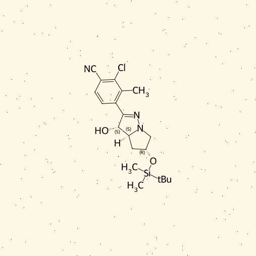 Cc1c(C2=NN3C[C@H](O[Si](C)(C)C(C)(C)C)C[C@H]3[C@@H]2O)ccc(C#N)c1Cl